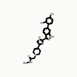 CCc1cc(O)ccc1-c1ccc2c(-c3nc(C4=CCN(CC(=O)NC(C)(C)C)CC4)c[nH]3)n[nH]c2c1